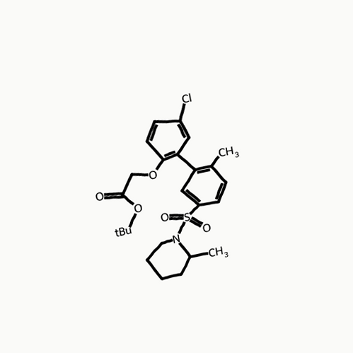 Cc1ccc(S(=O)(=O)N2CCCCC2C)cc1-c1cc(Cl)ccc1OCC(=O)OC(C)(C)C